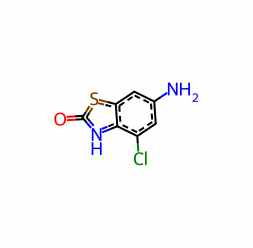 Nc1cc(Cl)c2[nH]c(=O)sc2c1